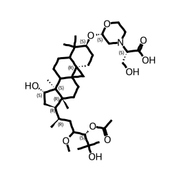 COC(C[C@@H](C)[C@H]1C[C@H](O)[C@@]2(C)C3CCC4C(C)(C)[C@@H](O[C@H]5CN([C@@H](CO)C(=O)O)CCO5)CC[C@@]45CC35CC[C@]12C)[C@H](OC(C)=O)C(C)(C)O